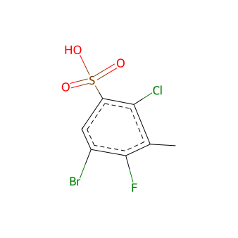 Cc1c(F)c(Br)cc(S(=O)(=O)O)c1Cl